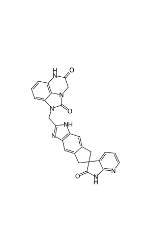 O=C1Cn2c(=O)n(Cc3nc4cc5c(cc4[nH]3)CC3(C5)C(=O)Nc4ncccc43)c3cccc(c32)N1